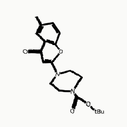 Cc1ccc2oc(N3CCN(C(=O)OC(C)(C)C)CC3)cc(=O)c2c1